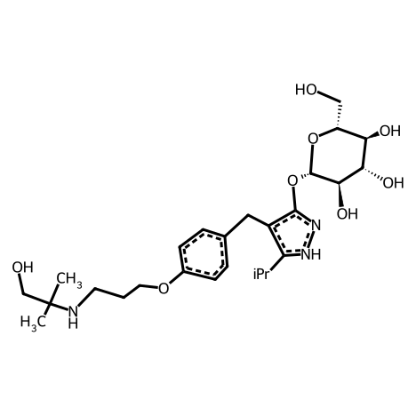 CC(C)c1[nH]nc(O[C@@H]2O[C@H](CO)[C@@H](O)[C@H](O)[C@H]2O)c1Cc1ccc(OCCCNC(C)(C)CO)cc1